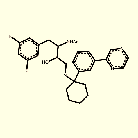 CC(=O)NC(Cc1cc(F)cc(F)c1)C(O)CNC1(c2cccc(-c3cnccn3)c2)CCCCC1